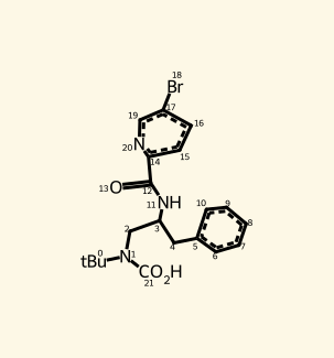 CC(C)(C)N(CC(Cc1ccccc1)NC(=O)c1ccc(Br)cn1)C(=O)O